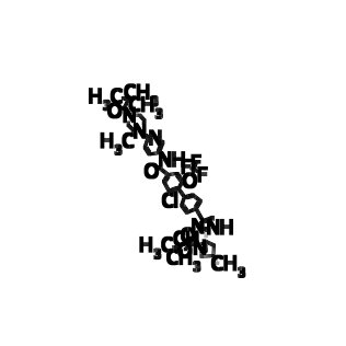 CC1CN(C(=O)C(C)(C)C)CCN1c1ccc(NC(=O)c2cc(Cl)c(-c3ccc(-c4c[nH]c([C@@H]5C[C@H](C)CN5C(=O)OC(C)(C)C)n4)cc3)c(OC(F)(F)F)c2)cn1